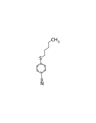 CCCCCSc1ccc(C#N)cc1